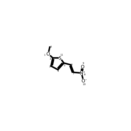 COc1ccc(/C=C/[N+](=O)[O-])s1